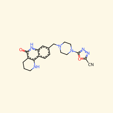 N#Cc1nnc(N2CCN(Cc3ccc4c5c(c(=O)[nH]c4c3)CCCN5)CC2)o1